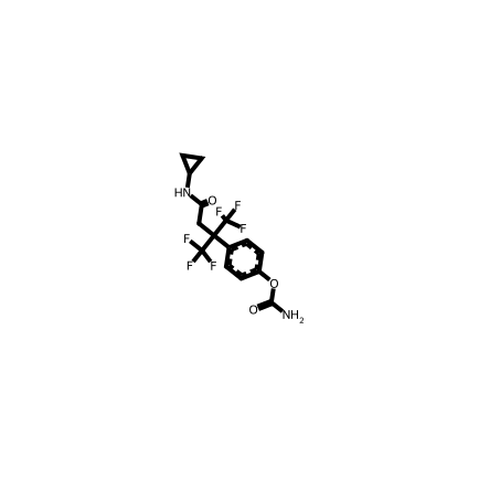 NC(=O)Oc1ccc(C(CC(=O)NC2CC2)(C(F)(F)F)C(F)(F)F)cc1